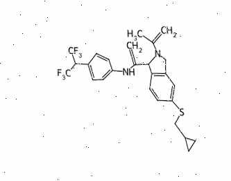 C=C(Nc1ccc(C(C(F)(F)F)C(F)(F)F)cc1)C1c2ccc(SCC3CC3)cc2CN1C(=C)C